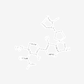 Cc1nccn1[C@H]1CC[C@@]2(CNc3ncc(-c4ccc(N)c(C(=O)N(C)C)c4F)c(Cl)c32)C1